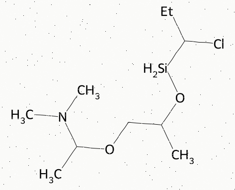 CCC(Cl)[SiH2]OC(C)COC(C)N(C)C